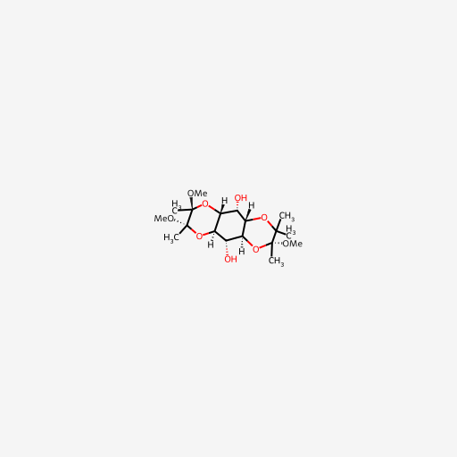 CO[C@]1(C)O[C@H]2[C@H](O)[C@H]3O[C@](C)(OC)[C@@](C)(OC)O[C@@H]3[C@H](O)[C@@H]2OC1(C)C